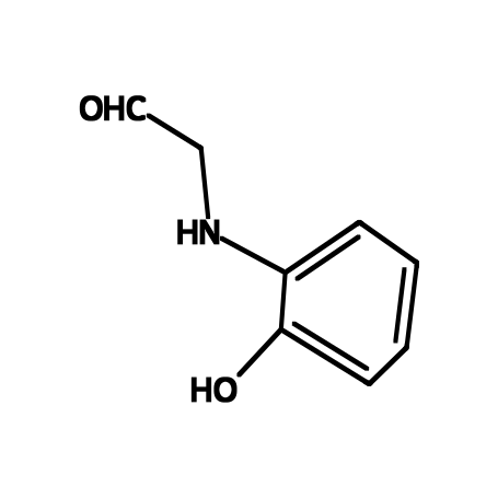 O=CCNc1ccccc1O